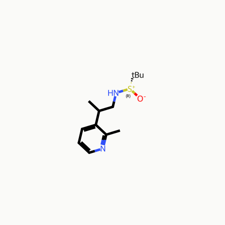 Cc1ncccc1C(C)CN[S@@+]([O-])C(C)(C)C